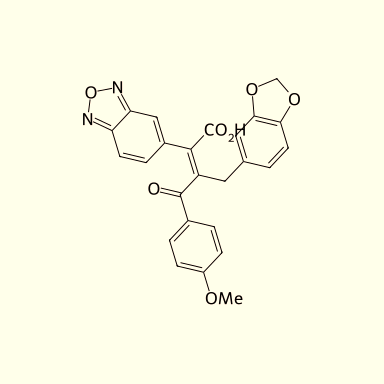 COc1ccc(C(=O)C(Cc2ccc3c(c2)OCO3)=C(C(=O)O)c2ccc3nonc3c2)cc1